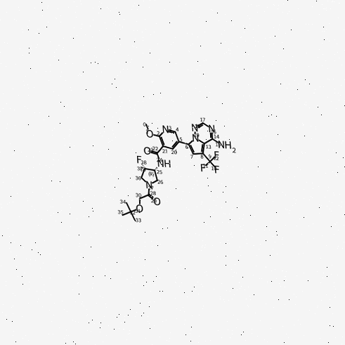 COc1ncc(-c2cc(C(F)(F)F)c3c(N)ncnn23)cc1C(=O)N[C@@H]1CN(C(=O)COC(C)(C)C)C[C@@H]1F